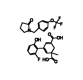 CC1(C(=O)O)C=C(c2c(O)cccc2F)C=C(C(=O)O)C1.O=C1CCCN1Cc1ccc(OC(F)(F)F)cc1